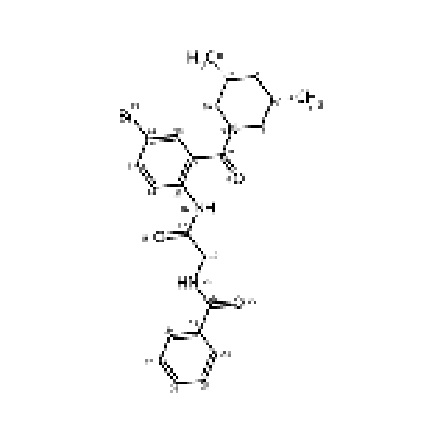 C[C@@H]1C[C@H](C)CN(C(=O)c2cc(Br)ccc2NC(=O)CNC(=O)c2ccccc2)C1